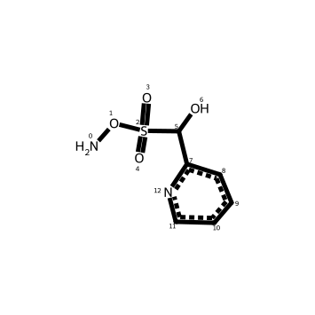 NOS(=O)(=O)C(O)c1ccccn1